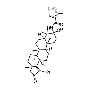 CC(C)C1=C2[C@H]3CC[C@@H]4[C@@]5(C)CC[C@@](O)(NC(=O)c6ccnn6C)C(C)(C)[C@@H]5CC[C@@]4(C)[C@]3(C)CC[C@@]2(C)CC1=O